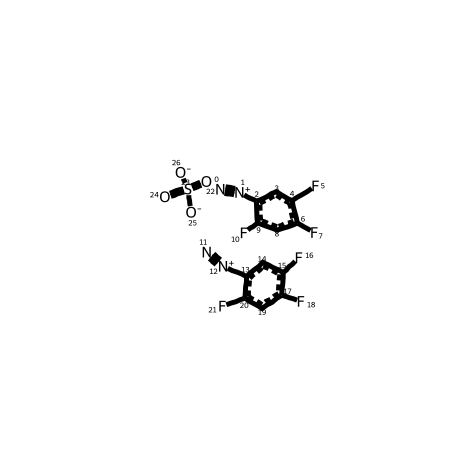 N#[N+]c1cc(F)c(F)cc1F.N#[N+]c1cc(F)c(F)cc1F.O=S(=O)([O-])[O-]